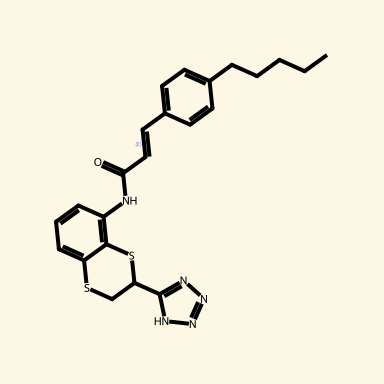 CCCCCc1ccc(/C=C/C(=O)Nc2cccc3c2SC(c2nnn[nH]2)CS3)cc1